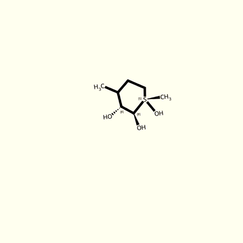 C[C]1CC[S@](C)(O)[C@@H](O)[C@@H]1O